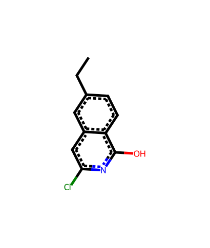 CCc1ccc2c(O)nc(Cl)cc2c1